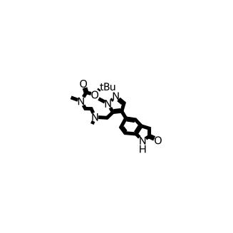 CN(CCN(C)C(=O)OC(C)(C)C)Cc1c(-c2ccc3c(c2)CC(=O)N3)cnn1C